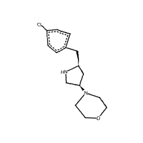 Clc1ccc(C[C@H]2C[C@@H](N3CCOCC3)CN2)cc1